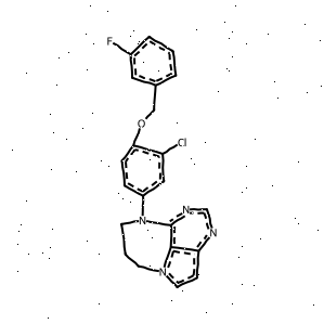 Fc1cccc(COc2ccc(N3CCCn4ccc5ncnc3c54)cc2Cl)c1